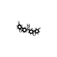 Cc1ccc2oc3ccc([SiH](C)c4ccc5oc6ccc(C)cc6c5c4)cc3c2c1